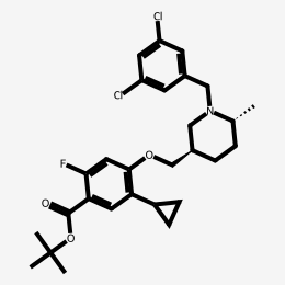 C[C@@H]1CC[C@@H](COc2cc(F)c(C(=O)OC(C)(C)C)cc2C2CC2)CN1Cc1cc(Cl)cc(Cl)c1